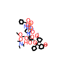 CCN(CC)CC.CCOC(=O)CO[C@@H]1[C@H](O)[C@@H](COC(c2ccccc2)(c2cccc(OC)c2)c2cccc(OC)c2)O[C@H]1N1CC=C(N)N(O[PH](=O)OC(=O)c2ccccc2)C1=O